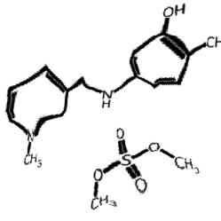 COS(=O)(=O)OC.Cc1ccc(NCC2=CC=CN(C)C2)cc1O